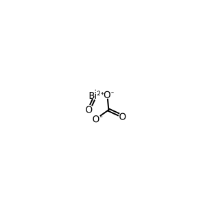 O=C([O-])[O-].[O]=[Bi+2]